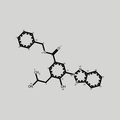 CC(Cc1cc(C(=O)OCc2ccccc2)cc(-n2nc3ccccc3n2)c1O)N=O